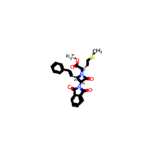 COC(=O)[C@H](CCSC)N1C(=O)[C@@H](N2C(=O)c3ccccc3C2=O)[C@H]1C=Cc1ccccc1